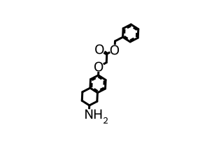 NC1CCc2cc(OCC(=O)OCc3ccccc3)ccc2C1